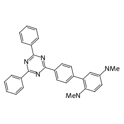 CNc1ccc(NC)c(-c2ccc(-c3nc(-c4ccccc4)nc(-c4ccccc4)n3)cc2)c1